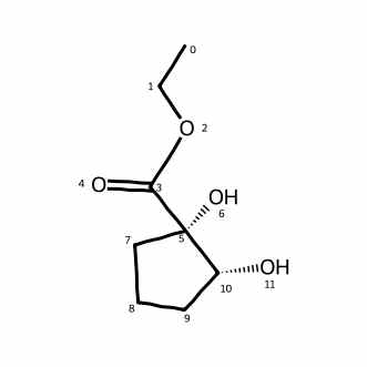 CCOC(=O)[C@]1(O)CCC[C@H]1O